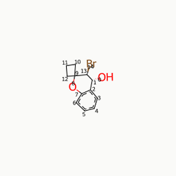 O[C@@H]1c2ccccc2OC2(CCC2)[C@H]1Br